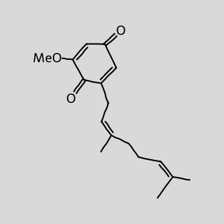 COC1=CC(=O)C=C(CC=C(C)CCC=C(C)C)C1=O